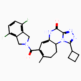 CC1=C(C(=O)N2Cc3c(F)ccc(F)c3C2)C=C2NC(=O)c3nnc(C4CCC4)n3C2CC1